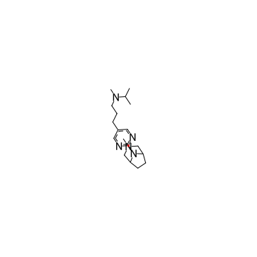 CC(C)N(C)CCCc1cnc(N2C3CCC2CN(C)C3)nc1